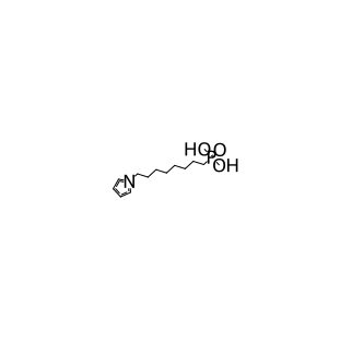 O=P(O)(O)CCCCCCCCn1cccc1